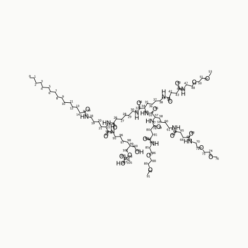 CCCCCCCCCCCCCCCC(=O)NCCCCC(NC(=O)CCCCCNC(=O)C(CCCCNC(=O)CCC(=O)NCCOCCOC)NC(=O)C(CCCCNC(=O)CCC(=O)NCCOCCOC)NC(=O)CCC(=O)NCCOCCOC)C(=O)NCCCCC(CO)COP(C)(=O)O